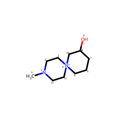 CN1CC[N+]2(CCCC(O)C2)CC1